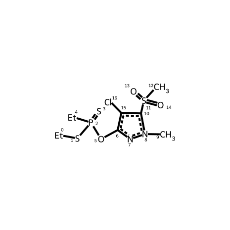 CCSP(=S)(CC)Oc1nn(C)c(S(C)(=O)=O)c1Cl